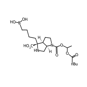 CCCCC(=O)OC(C)OC(=O)N1CC[C@H]2[C@@H]1CN[C@@]2(CCCCB(O)O)C(=O)O